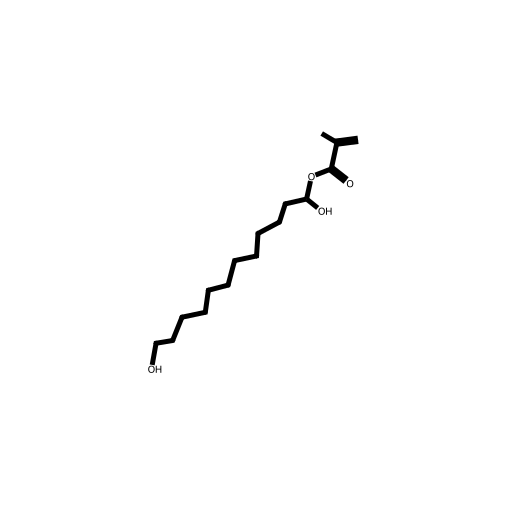 C=C(C)C(=O)OC(O)CCCCCCCCCCCO